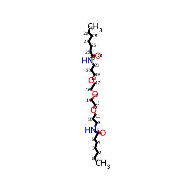 CCCCCCC(=O)NCCCOCCOCCOCCCNC(=O)CCCCCC